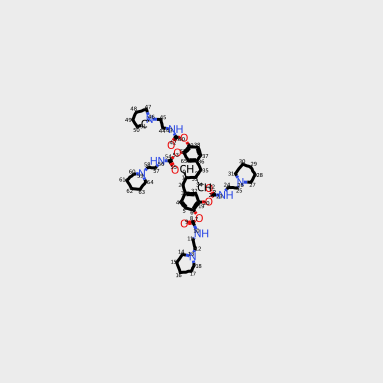 C[C@H](Cc1ccc(OC(=O)NCCN2CCCCC2)c(OC(=O)NCCN2CCCCC2)c1)[C@@H](C)Cc1ccc(OC(=O)NCCN2CCCCC2)c(OC(=O)NCCN2CCCCC2)c1